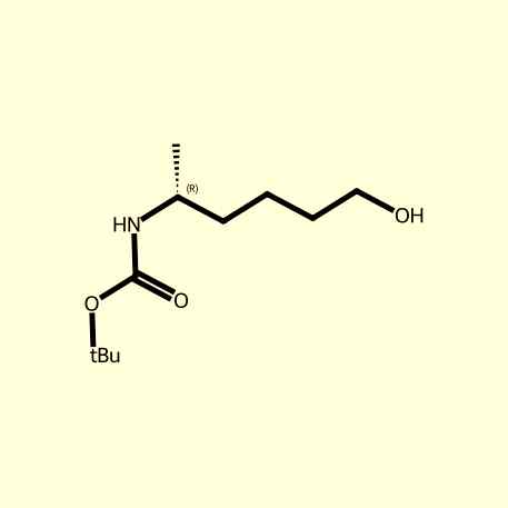 C[C@H](CCCCO)NC(=O)OC(C)(C)C